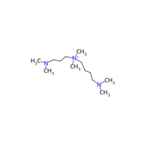 CN(C)CCCC[N+](C)(C)CCCN(C)C